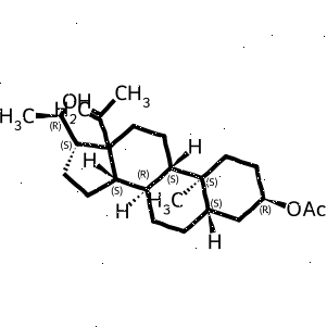 C=C(C)C12CC[C@H]3[C@@H](CC[C@H]4C[C@H](OC(C)=O)CC[C@@]43C)[C@@H]1CC[C@@H]2[C@@H](C)O